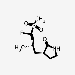 C[C@H](/C=C(\F)S(C)(=O)=O)C[C@@H]1CCNC1=O